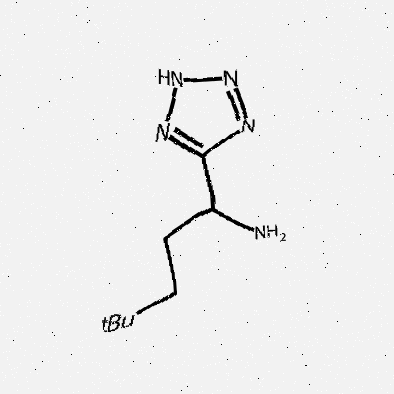 CC(C)(C)CCC(N)c1nn[nH]n1